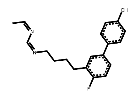 C/C=N\C=N/CCCCc1cc(-c2ccc(O)cc2)ccc1F